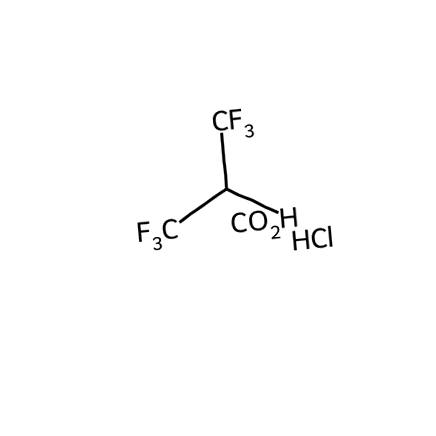 Cl.O=C(O)C(C(F)(F)F)C(F)(F)F